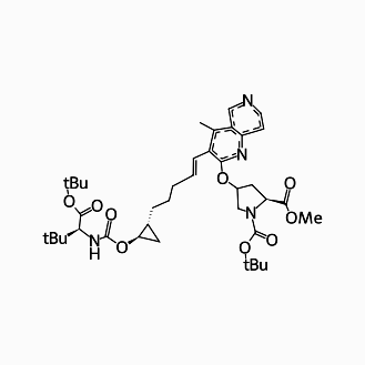 COC(=O)[C@@H]1CC(Oc2nc3ccncc3c(C)c2/C=C/CCC[C@@H]2C[C@H]2OC(=O)N[C@H](C(=O)OC(C)(C)C)C(C)(C)C)CN1C(=O)OC(C)(C)C